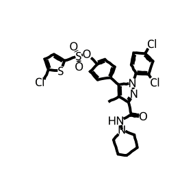 Cc1c(C(=O)NN2CCCCC2)nn(-c2ccc(Cl)cc2Cl)c1-c1ccc(OS(=O)(=O)c2ccc(Cl)s2)cc1